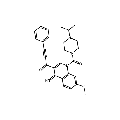 COc1ccc2c(=N)c(C(=O)C#Cc3ccccc3)cn(C(=O)N3CCN(C(C)C)CC3)c2c1